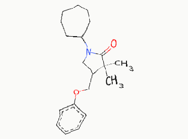 CC1(C)C(=O)N(C2CCCCCC2)CC1COc1ccccc1